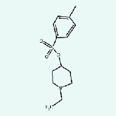 Cc1ccc(S(=O)(=O)OC2CCN(CC(F)(F)F)CC2)cc1